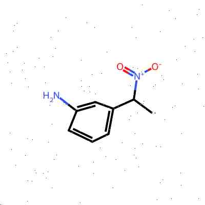 [CH2]C(c1cccc(N)c1)[N+](=O)[O-]